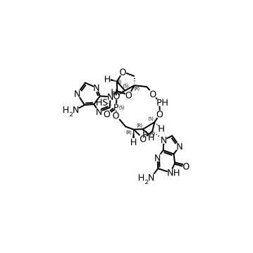 Nc1nc2c(ncn2[C@@H]2O[C@@H]3CO[P@](=O)(S)O[C@H]4[C@H]5OC[C@]4(COPO[C@@H]2[C@@H]3F)O[C@H]5n2cnc3c(N)ncnc32)c(=O)[nH]1